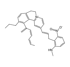 C=C(/C=C\C=C/C)c1c(CCC)ccc2c1-c1cc(/C=C/Cc3c(NC)cccc3[N+](=O)[O-])cc[n+]1CC2